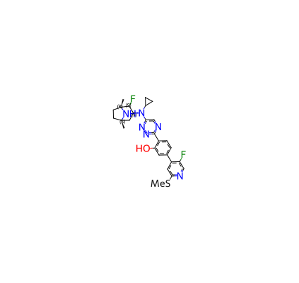 CSc1cc(-c2ccc(-c3ncc(N(C4CC4)[C@H]4C[C@]5(C)CC[C@@](C)(N5)[C@H]4F)nn3)c(O)c2)c(F)cn1